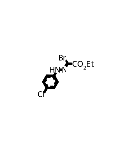 CCOC(=O)C(Br)=NNc1ccc(Cl)cc1